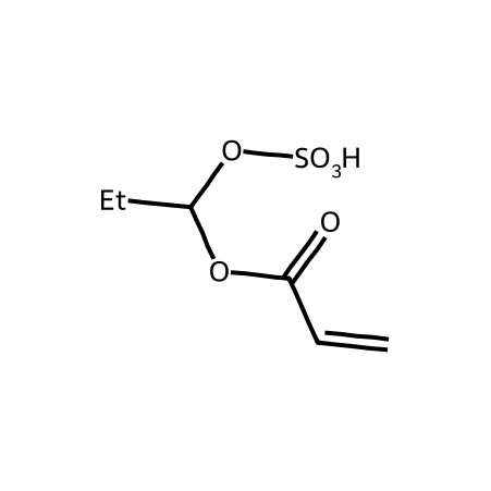 C=CC(=O)OC(CC)OS(=O)(=O)O